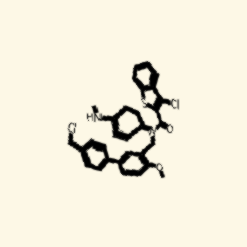 CNC1CCC(N(Cc2cc(-c3ccc(CCl)cc3)ccc2OC)C(=O)c2sc3ccccc3c2Cl)CC1